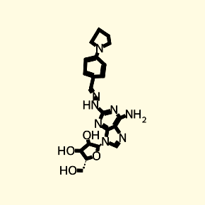 Nc1nc(N/N=C/c2ccc(N3CCCC3)cc2)nc2c1ncn2[C@@H]1O[C@H](CO)C(O)C1O